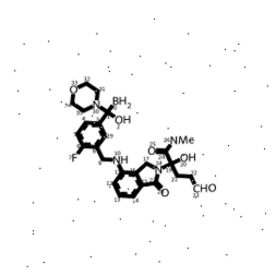 BC(O)(c1ccc(F)c(CNc2cccc3c2CN(C(O)(CCC=O)C(=O)NC)C3=O)c1)N1CCOCC1